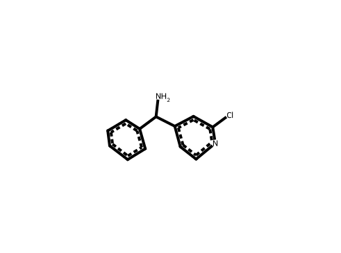 NC(c1ccccc1)c1ccnc(Cl)c1